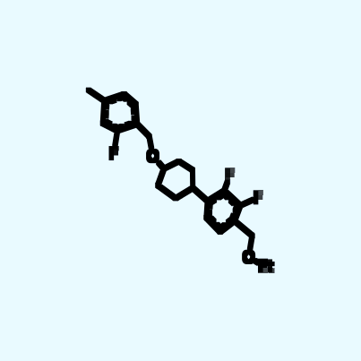 CCOCc1ccc(C2CCC(OCc3ccc(C)cc3F)CC2)c(F)c1F